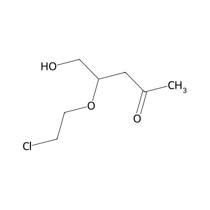 CC(=O)CC(CO)OCCCl